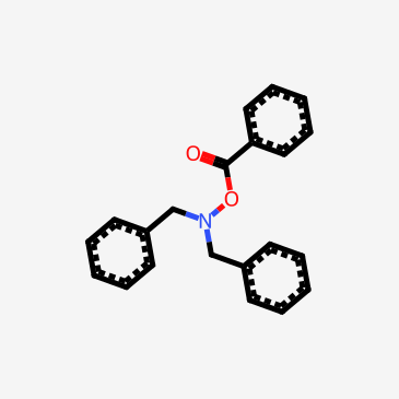 O=C(ON(Cc1ccccc1)Cc1ccccc1)c1ccccc1